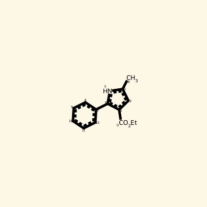 CCOC(=O)c1cc(C)[nH]c1-c1ccccc1